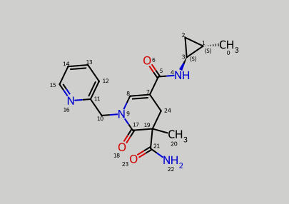 C[C@H]1C[C@@H]1NC(=O)C1=CN(Cc2ccccn2)C(=O)C(C)(C(N)=O)C1